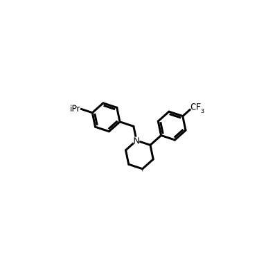 CC(C)c1ccc(CN2CC[CH]CC2c2ccc(C(F)(F)F)cc2)cc1